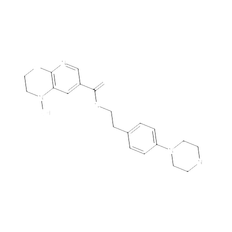 CN1CCOc2ncc(C(=O)NCCc3ccc(N4CCNCC4)cc3)cc21